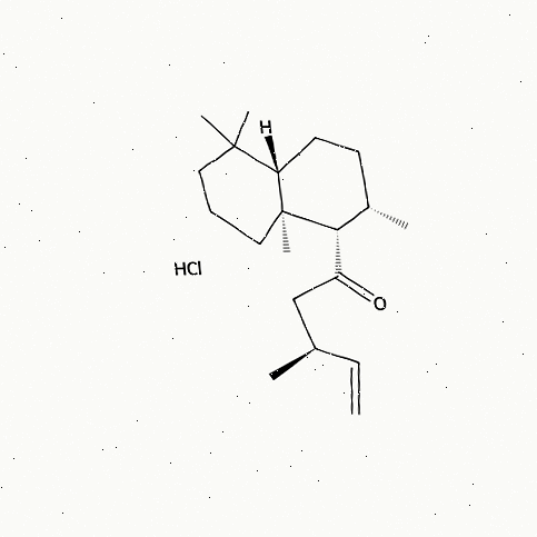 C=C[C@@H](C)CC(=O)[C@H]1[C@@H](C)CC[C@H]2C(C)(C)CCC[C@]12C.Cl